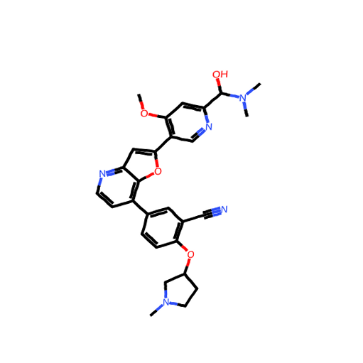 COc1cc(C(O)N(C)C)ncc1-c1cc2nccc(-c3ccc(OC4CCN(C)C4)c(C#N)c3)c2o1